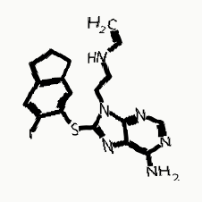 C=CNCCn1c(Sc2cc3c(cc2I)CCC3)nc2c(N)ncnc21